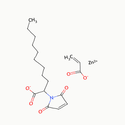 C=CC(=O)[O-].CCCCCCCCCC(C(=O)[O-])N1C(=O)C=CC1=O.[Zn+2]